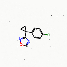 Clc1ccc(C2(c3n[c]on3)CC2)cc1